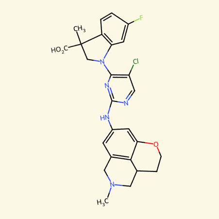 CN1Cc2cc(Nc3ncc(Cl)c(N4CC(C)(C(=O)O)c5ccc(F)cc54)n3)cc3c2C(CCO3)C1